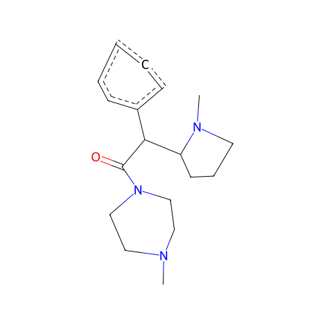 CN1CCN(C(=O)C(c2ccccc2)C2CCCN2C)CC1